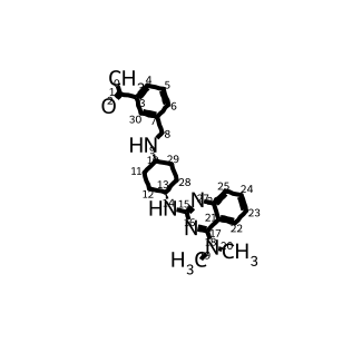 CC(=O)c1cccc(CN[C@H]2CC[C@@H](Nc3nc(N(C)C)c4ccccc4n3)CC2)c1